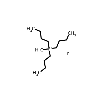 CCCC[P+](C)(CCCC)CCCC.[I-]